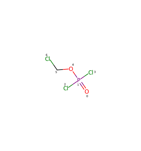 O=P(Cl)(Cl)OCCl